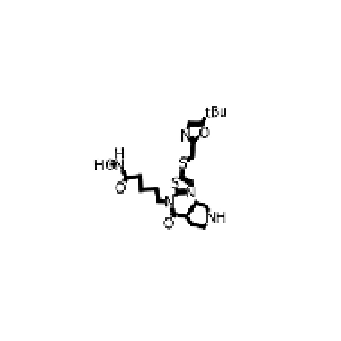 CC(C)(C)c1cnc(CSc2cnc(N(CCCCC(=O)NO)C(=O)C3CCNCC3)s2)o1